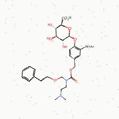 CC(=O)Nc1cc(COC(=O)N(CCN(C)C)COCCc2ccccc2)ccc1O[C@@H]1O[C@H](C(=O)O)[C@@H](O)[C@H](O)[C@H]1O